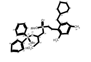 COP(=O)(CCc1c(C)cc(C)cc1CC1CCCCC1)CC(CC(=O)O)O[Si](c1ccccc1)(c1ccccc1)C(C)(C)C